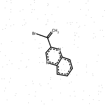 C=C(Br)c1cnc2ccccc2n1